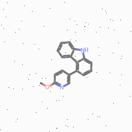 COc1ccc(-c2cccc3[nH]c4ccccc4c23)cn1